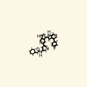 O=C(CC1CCCCC1)Nc1cncc(-c2cc3c(-c4cc5c(-c6ccc(F)cc6)cncc5[nH]4)n[nH]c3cn2)c1